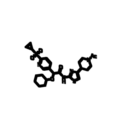 CC(=O)N1CCC(c2csc(NC(=O)C(OC3CCCCC3)c3ccc(S(=O)(=O)C4CC4)nc3)n2)CC1